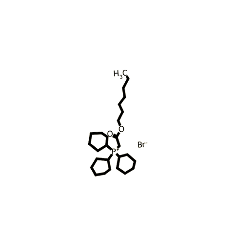 CCCCCCCOC(=O)C[P+](C1CCCCC1)(C1CCCCC1)C1CCCCC1.[Br-]